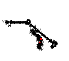 CC(C)[C@H](NC(=O)[C@@H](CCCCNC(=O)COC1CCCCCc2c1nnn2CCOCCOCCOCCOCCC(=O)NCCS(=O)(=O)O)NC(=O)CCOCCOCCOCCOCCNC(=O)CCC(=O)N1Cc2ccccc2C#Cc2ccccc21)C(=O)N[C@@H](C)C(=O)Nc1ccc2c(c1)[C@@]1(C)CCC[C@](C)(C(=O)NC(=O)[C@@]3(C)CCC[C@]4(C)c5cc(O)ccc5CC[C@@H]34)[C@@H]1CC2